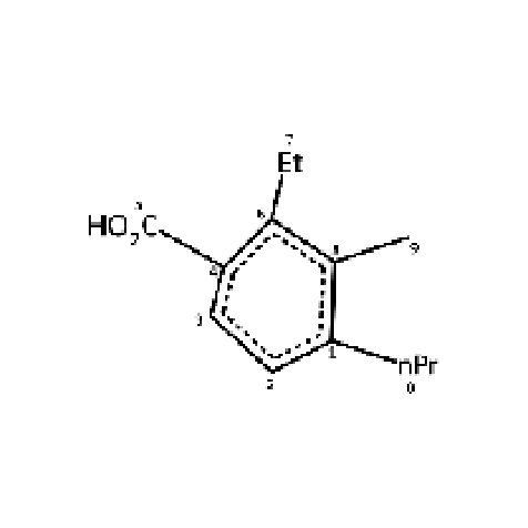 CCCc1ccc(C(=O)O)c(CC)c1C